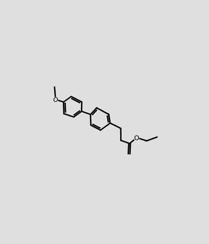 C=C(CCc1ccc(-c2ccc(OC)cc2)cc1)OCC